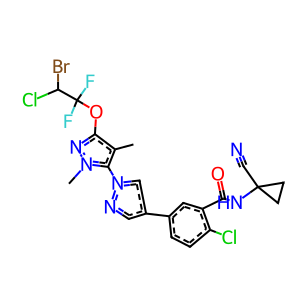 Cc1c(OC(F)(F)C(Cl)Br)nn(C)c1-n1cc(-c2ccc(Cl)c(C(=O)NC3(C#N)CC3)c2)cn1